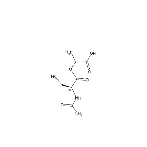 CC(=O)N[C@@H](CS)C(=O)OC(C)C(=O)O